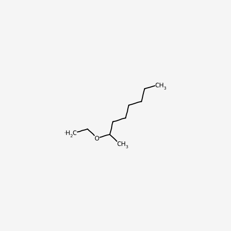 [CH2]COC(C)CCCCCC